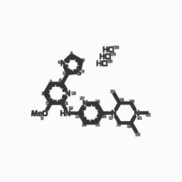 COc1ccc(-c2nccs2)nc1Nc1ccc(N2CC(C)N(C)CC2C)cn1.Cl.Cl.Cl